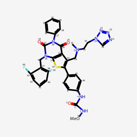 CONC(=O)Nc1ccc(-c2sc3c(c2CN(C)CCn2cnnn2)c(=O)n(-c2ccccc2)c(=O)n3Cc2c(F)cccc2F)cc1